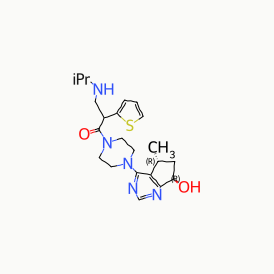 CC(C)NCC(C(=O)N1CCN(c2ncnc3c2[C@H](C)C[C@H]3O)CC1)c1cccs1